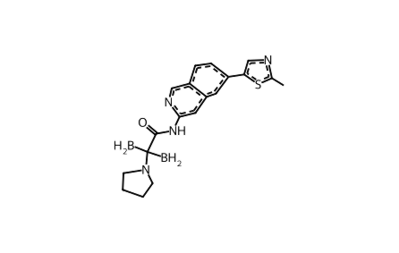 BC(B)(C(=O)Nc1cc2cc(-c3cnc(C)s3)ccc2cn1)N1CCCC1